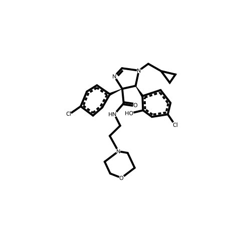 O=C(NCCN1CCOCC1)[C@]1(c2ccc(Cl)cc2)N=CN(CC2CC2)[C@H]1c1ccc(Cl)cc1O